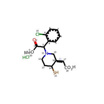 COC(=O)C(c1ccccc1Cl)N1CCC(S)/C(=C\C(=O)O)C1.Cl